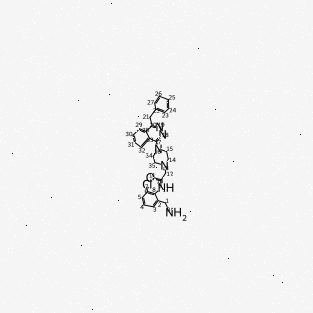 NCc1cccc(Cl)c1NC(=O)CN1CCN(c2nnc(Cc3ccccc3)c3ccccc23)CC1